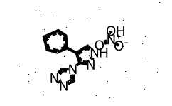 O=[N+]([O-])O.c1ccc(-c2c[nH]nc2-n2cnnc2)cc1